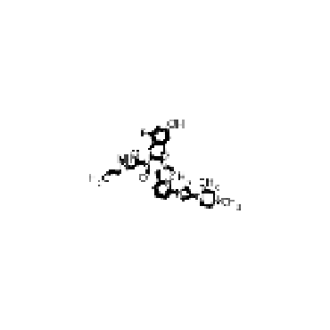 C=CCN(N)CC(=O)N(C=O)[C@@H](Cc1c(F)cc(O)cc1F)C(=O)N(CC)Cc1cccc(N2CC(N3CCN(C)C[C@@H]3C)C2)n1